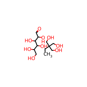 CCC(CO)(CO)CO.O=CC(O)C(O)C(O)C(O)CO